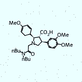 CCCCN(CCCC)C(=O)CN1C[C@H](c2ccc(OC)c(OC)c2)[C@@H](C(=O)O)[C@@H]1C1C=CC(OC)=CC1